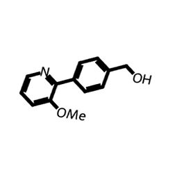 COc1cccnc1-c1ccc(CO)cc1